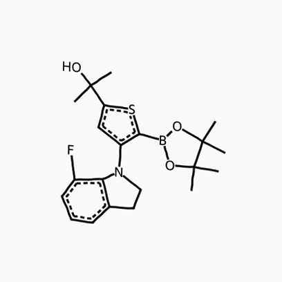 CC(C)(O)c1cc(N2CCc3cccc(F)c32)c(B2OC(C)(C)C(C)(C)O2)s1